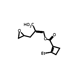 CCC1=C(C(=O)OC=C(CC2CO2)C(=O)O)CC1